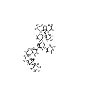 c1ccc(-c2nc(-c3ccc4c(c3)C3(c5ccccc5-c5ccccc53)c3ccccc3-4)nc(-c3ccc4c(ccc5ccc6nn(-c7ccccc7)nc6c54)c3)n2)cc1